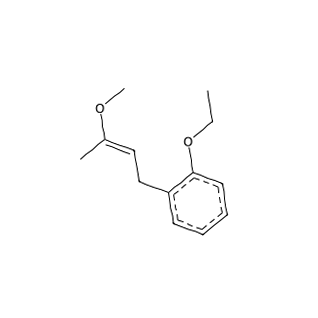 CCOc1ccccc1C/C=C(\C)OC